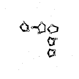 C1=NCCO1.O=C1NCCO1.c1cc[nH]c1.c1cnoc1.c1cocn1